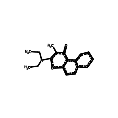 CCN(CC)c1oc2ccc3ccccc3c2c(=O)c1C